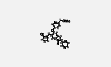 COCc1ccc(Oc2cc3cc(-c4cnccn4)[nH]c3cc2CN2CCCC2=O)cn1